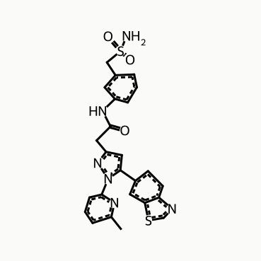 Cc1cccc(-n2nc(CC(=O)Nc3cccc(CS(N)(=O)=O)c3)cc2-c2ccc3ncsc3c2)n1